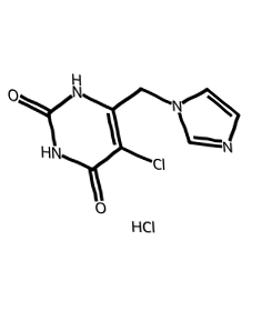 Cl.O=c1[nH]c(Cn2ccnc2)c(Cl)c(=O)[nH]1